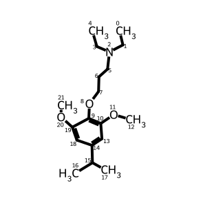 CCN(CC)CCCOc1c(OC)cc(C(C)C)cc1OC